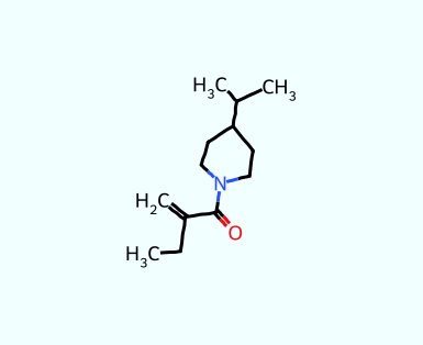 C=C(CC)C(=O)N1CCC(C(C)C)CC1